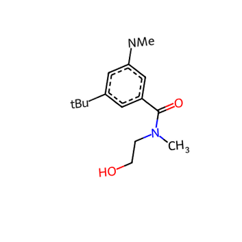 CNc1cc(C(=O)N(C)CCO)cc(C(C)(C)C)c1